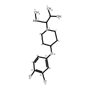 CNC(C(C)O)N1CCC(Oc2ccc(Cl)c(Cl)c2)CC1